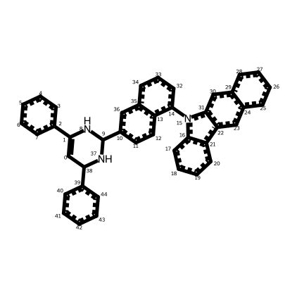 C1=C(c2ccccc2)NC(c2ccc3c(-n4c5ccccc5c5cc6ccccc6cc54)cccc3c2)NC1c1ccccc1